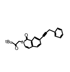 CC(C)(C)C(=O)Cn1ccc2ccc(C#CCc3ccccc3)cc2c1=O